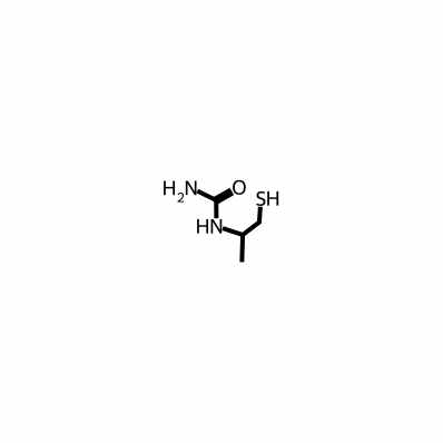 CC(CS)NC(N)=O